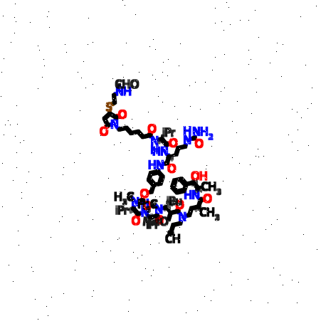 C#CCCN(CC[C@@H](C)C(=O)N[C@H](C)[C@@H](O)c1ccccc1)C(=O)C(COC)[C@H]([C@@H](C)CC)N(C)C(=O)[C@@H](NC(=O)[C@H](C(C)C)N(C)C(=O)OCc1ccc(NC(=O)[C@H](CCCNC(N)=O)NC(=O)[C@@H](NC(=O)CCCCCN2C(=O)CC(SCCNC=O)C2=O)C(C)C)cc1)C(C)C